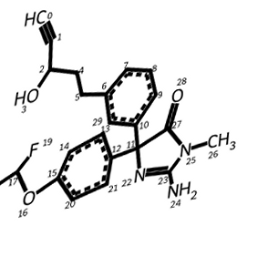 C#CC(O)CCc1cccc(C2(c3ccc(OC(F)F)cc3)N=C(N)N(C)C2=O)c1